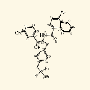 CC(C)C(F)(F)Cc1ccc(CC(NC(=O)c2ccc(F)c3ccccc23)C(O)c2cccc(Cl)c2)cc1